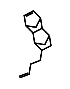 C=CCCC1CC2CC1C1C3C=CC(C3)C21